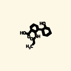 CCC(=O)Nc1c(C(=O)O)cccc1-c1ccccc1O